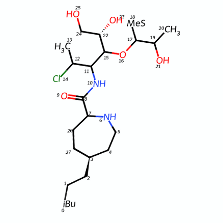 CCC(C)CC[C@@H]1CCNC(C(=O)NC(C(C)Cl)C(OC(SC)C(C)O)[C@@H](O)CO)CC1